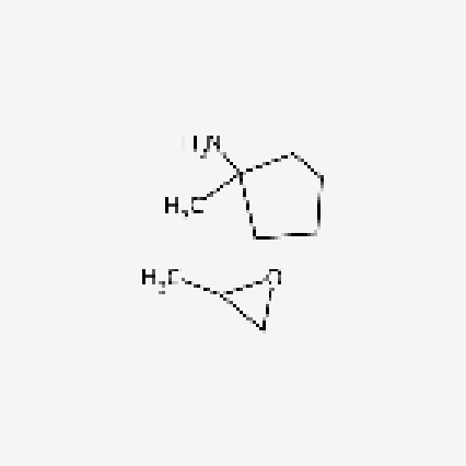 CC1(N)CCCC1.CC1CO1